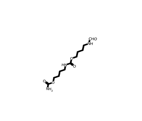 NC(=O)OCCCCNC(=O)OCCCCNC=O